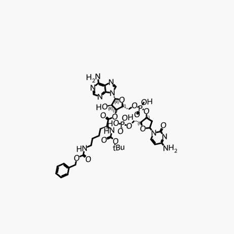 CC(C)(C)OC(=O)N[C@@H](CCCCNC(=O)OCc1ccccc1)C(=O)O[C@H]1[C@@H](O)[C@H](n2cnc3c(N)ncnc32)O[C@@H]1COP(=O)(O)O[C@H]1CC(n2ccc(N)nc2=O)O[C@@H]1COP(=O)(O)O